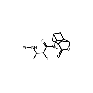 CCNC(C)C(I)C(=O)OC1C2CC3C1OC(=O)C3(C#N)C2